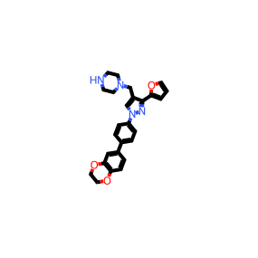 c1coc(-c2nn(-c3ccc(-c4ccc5c(c4)OCCO5)cc3)cc2CN2CCNCC2)c1